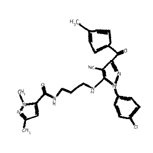 Cc1ccc(C(=O)c2nn(-c3ccc(Cl)cc3)c(NCCCNC(=O)c3cc(C)nn3C)c2C#N)cc1